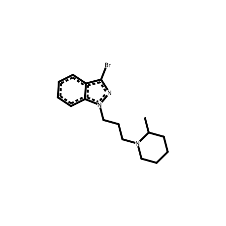 CC1CCCCN1CCCn1nc(Br)c2ccccc21